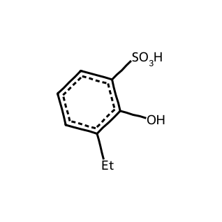 CCc1cccc(S(=O)(=O)O)c1O